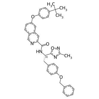 Cc1noc([C@H](Cc2ccc(OCc3ccccc3)cc2)NC(=O)c2cc3cc(Oc4ccc(C(C)(C)C)cc4)ccc3cn2)n1